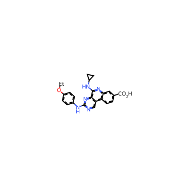 CCOc1ccc(Nc2ncc3c(n2)c(NC2CC2)nc2cc(C(=O)O)ccc23)cc1